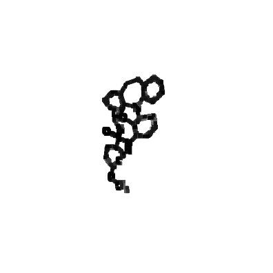 CN=S(=O)(Nc1cccc(N2c3ccccc3CCc3ccccc32)c1O)c1ccc(OC(F)(F)F)cc1